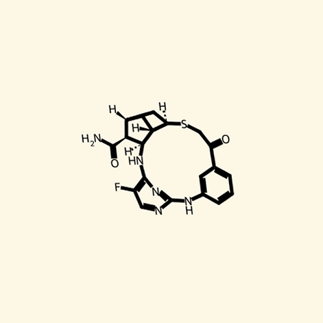 NC(=O)[C@H]1[C@H]2C[C@H]3[C@H]1Nc1nc(ncc1F)Nc1cccc(c1)C(=O)CS[C@@H]3C2